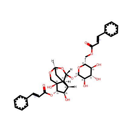 O=C(/C=C/c1ccccc1)OC[C@H]1O[C@@H](O[C@H]2O[C@H]3C[C@H]4[C@@H](O)[C@H](OC(=O)/C=C/c5ccccc5)[C@](O)(CO3)[C@@H]24)[C@H](O)[C@@H](O)[C@@H]1O